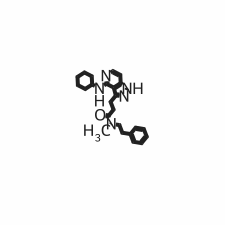 CN(CCc1ccccc1)C(=O)CCc1n[nH]c2ccnc(NC3CCCCC3)c12